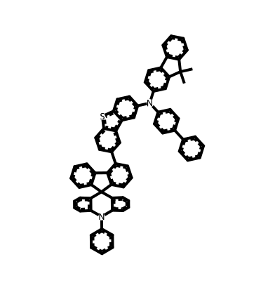 CC1(C)c2ccccc2-c2ccc(N(c3ccc(-c4ccccc4)cc3)c3ccc4sc5ccc(-c6cccc7c6-c6ccccc6C76c7ccccc7N(c7ccccc7)c7ccccc76)cc5c4c3)cc21